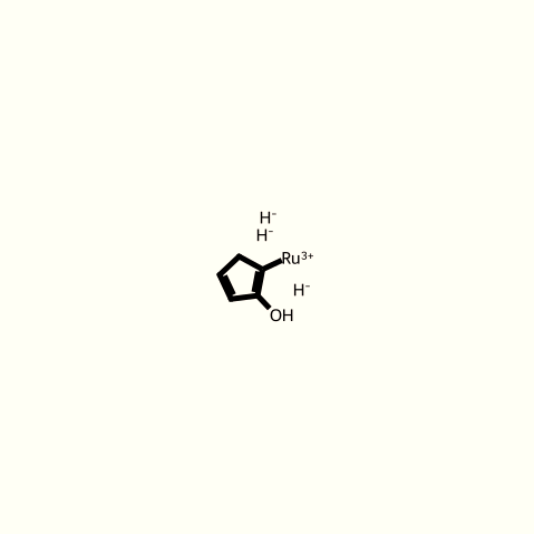 OC1=[C]([Ru+3])CC=C1.[H-].[H-].[H-]